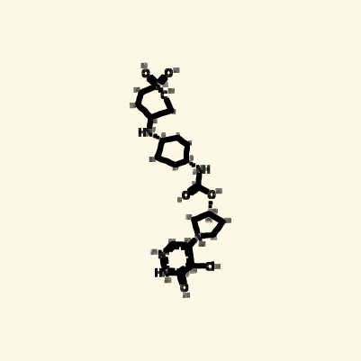 O=C(N[C@H]1CC[C@@H](NC2CCS(=O)(=O)CC2)CC1)O[C@@H]1CCN(c2cn[nH]c(=O)c2Cl)C1